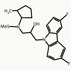 CSN(CC(O)Cn1c2ccc(F)cc2c2cc(F)ccc21)C1CCCC1C